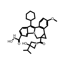 COc1ccc2c(c1)C1CC1(C(=O)N1CC(O)(C(C)C)C1)Cn1c-2c(C2CCCCC2)c2ccc(C(=O)NO)cc21